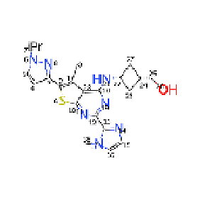 Cc1c(-c2ccn(C(C)C)n2)sc2nc(-c3nccn3C)nc(N[C@H]3C[C@@H](CO)C3)c12